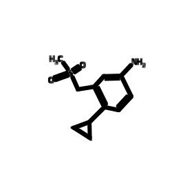 CS(=O)(=O)Cc1cc(N)ccc1C1CC1